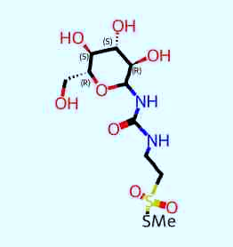 CSS(=O)(=O)CCNC(=O)NC1O[C@H](CO)[C@@H](O)[C@H](O)[C@H]1O